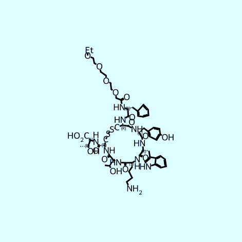 CCOCCOCCOCCOCC(=O)N[C@H](Cc1ccccc1)C(=O)N[C@H]1CSSC[C@@H](C(=O)N[C@H](C(=O)O)[C@@H](C)O)NC(=O)[C@H](C(C)O)NC(=O)[C@H](CCCCN)NC(=O)[C@@H](Cc2c[nH]c3ccccc23)NC(=O)[C@H](Cc2ccc(O)cc2)NC1=O